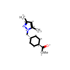 COC(=O)[C@H]1CC[C@H](Cn2nc(C)cc2C)CC1